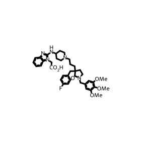 COc1cc(CN2CCC(CCCN3CCC(Nc4nc5ccccc5n4CC(=O)O)CC3)(Cc3ccc(F)cc3)C2=O)cc(OC)c1OC